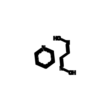 O/N=C\C=N/O.c1ccncc1